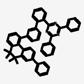 CC1(C)c2cc(-c3ccccc3)ccc2-c2c(-c3cccc(-c4ccccc4-c4nc(-c5ccccc5)nc(-c5ccccc5)n4)c3)cccc2C1(C)C